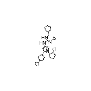 Clc1ccc(-c2cc(NC(=NC3CC3)NCc3ccccc3)nn2-c2ccccc2Cl)cc1